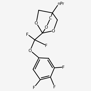 CCCC12COC(C(F)(F)Oc3cc(F)c(F)c(F)c3)(OC1)OC2